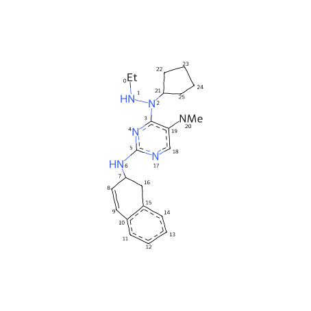 CCNN(c1nc(NC2C=Cc3ccccc3C2)ncc1NC)C1CCCC1